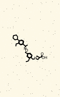 CCc1cc(CO/N=C(\C)c2ccc(C3CCCCC3)c(CC)c2)ccc1CN1CC(C(=O)O)C1